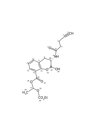 C#CCCC(=O)N[C@H]1Cc2cccc(C(=O)OC(C)OC(=O)OCC)c2OB1O